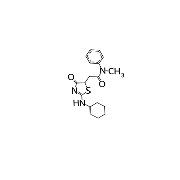 CN(C(=O)CC1SC(NC2CCCCC2)=NC1=O)c1ccccc1